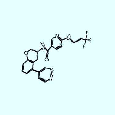 O=C(N[C@@H]1COc2cccc(-c3ccnnc3)c2C1)c1ccc(OCCC(F)(F)F)nc1